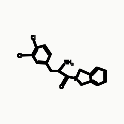 NC(Cc1ccc(Cl)c(Cl)c1)C(=O)N1Cc2ccccc2C1